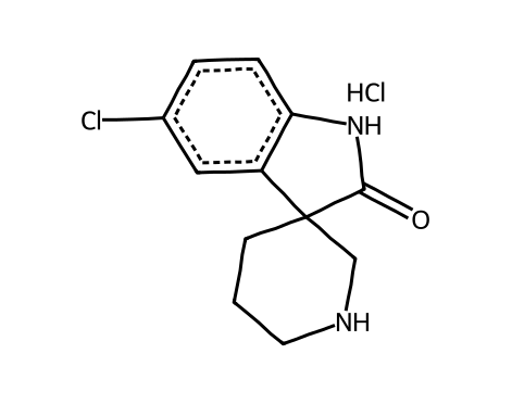 Cl.O=C1Nc2ccc(Cl)cc2C12CCCNC2